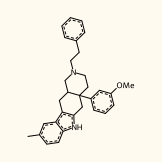 COc1cccc(C23CCN(CCc4ccccc4)CC2Cc2c([nH]c4ccc(C)cc24)C3)c1